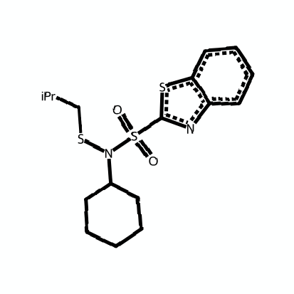 CC(C)CSN(C1CCCCC1)S(=O)(=O)c1nc2ccccc2s1